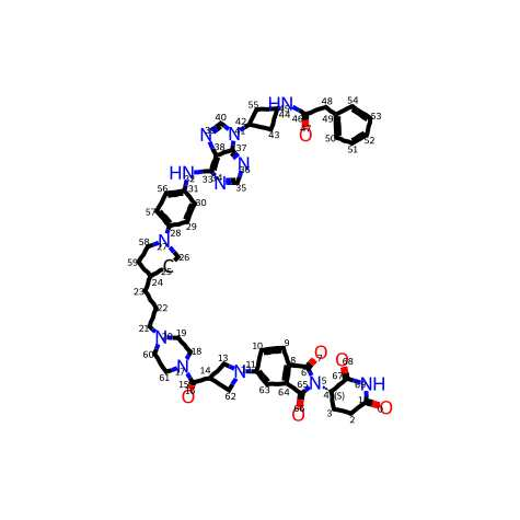 O=C1CC[C@H](N2C(=O)c3ccc(N4CC(C(=O)N5CCN(CCCC6CCN(c7ccc(Nc8ncnc9c8ncn9C8CC(NC(=O)Cc9ccccc9)C8)cc7)CC6)CC5)C4)cc3C2=O)C(=O)N1